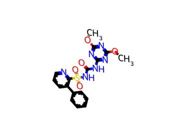 COc1nc(NC(=O)NS(=O)(=O)c2ncccc2-c2ccccc2)nc(OC)n1